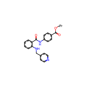 CC(C)OC(=O)c1ccc(NC(=O)c2ccccc2NCc2ccncc2)cc1